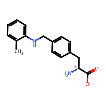 Cc1ccccc1NCc1ccc(C[C@H](N)C(=O)O)cc1